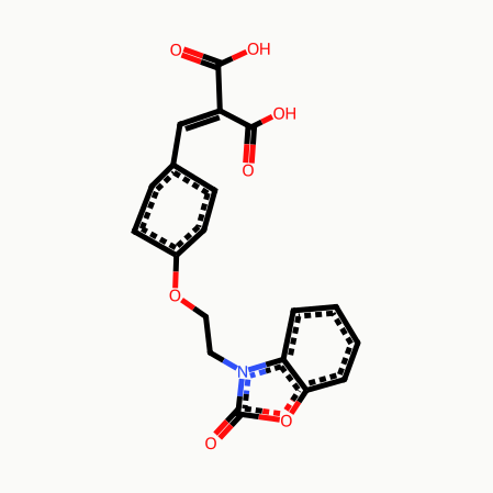 O=C(O)C(=Cc1ccc(OCCn2c(=O)oc3ccccc32)cc1)C(=O)O